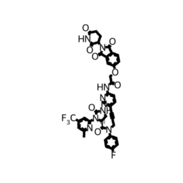 Cc1cc(C(F)(F)F)cc(N2C(=O)NC[C@H]2C(=O)N(CC#Cc2ccc(NC(=O)COc3ccc4c(c3)C(=O)N(C3CCC(=O)NC3=O)C4=O)nn2)c2ccc(F)cc2)n1